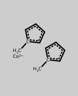 C[c-]1cccc1.C[c-]1cccc1.[Co+2]